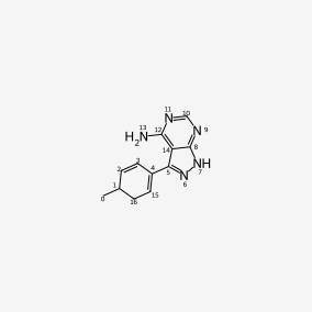 CC1C=CC(c2n[nH]c3ncnc(N)c23)=CC1